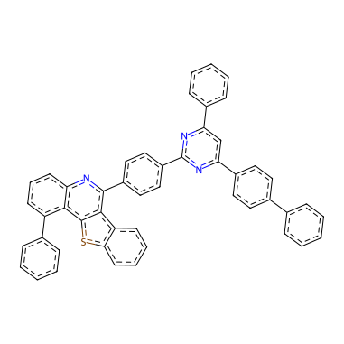 c1ccc(-c2ccc(-c3cc(-c4ccccc4)nc(-c4ccc(-c5nc6cccc(-c7ccccc7)c6c6sc7ccccc7c56)cc4)n3)cc2)cc1